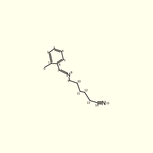 Cc1ccccc1C=NCCCCCC#N